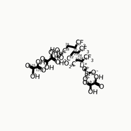 O=C(O)C(=O)O.O=C(O)C(=O)O.O=C(O)C(=O)O.O=C(O)CCC(F)(F)F.O=C(O)CCC(F)(F)F.O=C(O)CCC(F)(F)F.[Li+].[Li+].[Li+].[O-]B([O-])[O-]